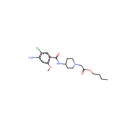 CCCCOC(=O)CN1CCC(NC(=O)c2cc(Cl)c(N)cc2OC)CC1